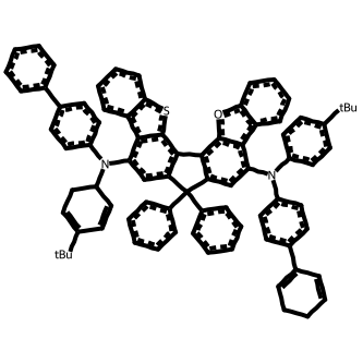 CC(C)(C)C1=CCC(N(c2ccc(-c3ccccc3)cc2)c2cc3c(c4sc5ccccc5c24)-c2c(cc(N(c4ccc(C5=CCCC=C5)cc4)c4ccc(C(C)(C)C)cc4)c4c2oc2ccccc24)C3(c2ccccc2)c2ccccc2)C=C1